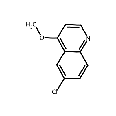 COc1ccnc2ccc(Cl)cc12